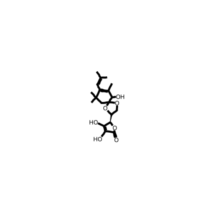 CC(C)=CC1=C(C)C(O)C2(CC1(C)C)OCC([C@H]1OC(=O)C(O)=C1O)O2